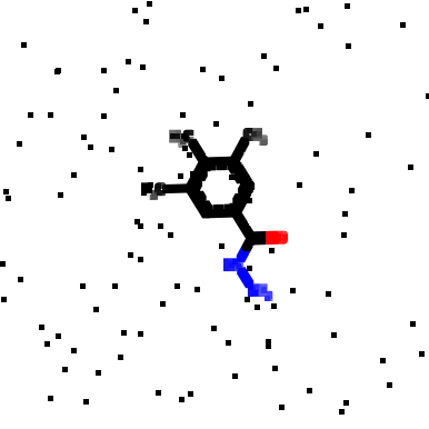 Cc1cc(C(=O)NN)cc(C)c1C